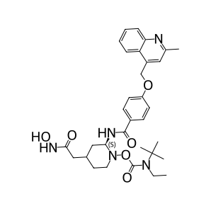 CCN(C(=O)ON1CCC(CC(=O)NO)C[C@H]1NC(=O)c1ccc(OCc2cc(C)nc3ccccc23)cc1)C(C)(C)C